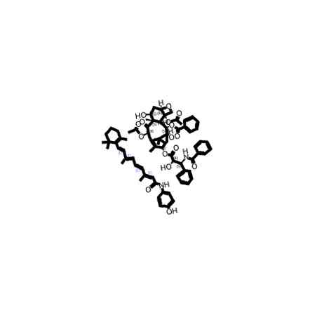 CC(=O)O[C@H]1C(=O)[C@@]2(C)[C@H]([C@H](OC(=O)c3ccccc3)[C@]3(O)C[C@H](OC(=O)[C@H](O)[C@@H](NC(=O)c4ccccc4)c4ccccc4)C(C)=C1C3(C)C)[C@]1(OC(C)=O)CO[C@@H]1C[C@@H]2O.CC1=C(/C=C/C(C)=C/C=C/C(C)=C/C(=O)Nc2ccc(O)cc2)C(C)(C)CCC1